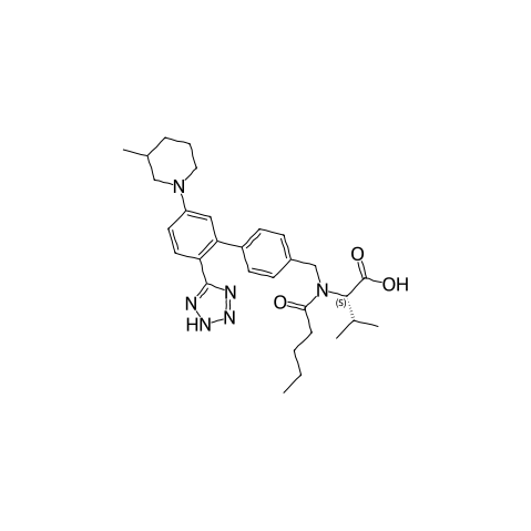 CCCCC(=O)N(Cc1ccc(-c2cc(N3CCCC(C)C3)ccc2-c2nn[nH]n2)cc1)[C@H](C(=O)O)C(C)C